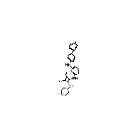 O=c1c(Nc2ccnc(Nc3ccc(-c4ccncc4)cc3)n2)c(NC2CCNCC2)c1=O